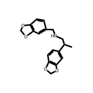 CC(CNCc1ccc2c(c1)OCO2)c1ccc2c(c1)OCO2